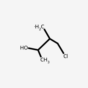 [CH2]C(CCl)C(C)O